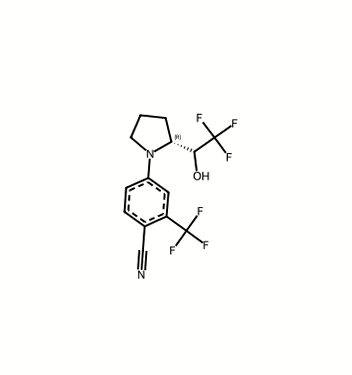 N#Cc1ccc(N2CCC[C@@H]2C(O)C(F)(F)F)cc1C(F)(F)F